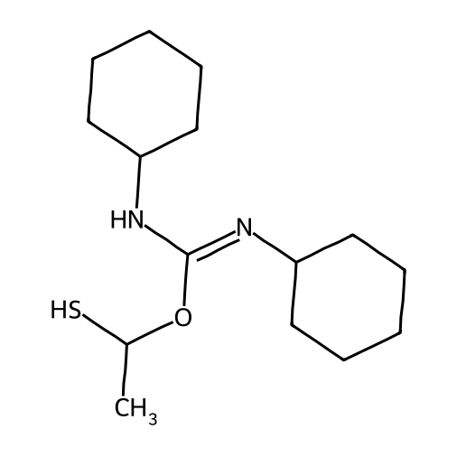 CC(S)O/C(=N\C1CCCCC1)NC1CCCCC1